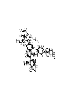 CC1(C)CC=C(c2cc(C(C)(C)N3CCCC3)ccc2NC(=O)c2ncc(C#N)[nH]2)CC1